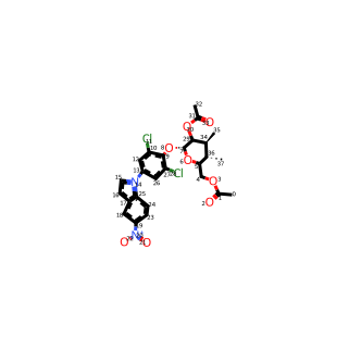 CC(=O)OCC1O[C@H](Oc2c(Cl)cc(-n3ccc4cc([N+](=O)[O-])ccc43)cc2Cl)C(OC(C)=O)[C@@H](C)[C@@H]1C